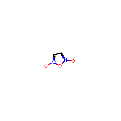 [O-][n+]1cc[n+]([O-])o1